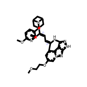 C=N/C(=C\C=C1/Nc2n[nH]c3nn4cc(OCCOC)cc1c4c23)N1CC2CC(C1)N2Cc1ccc(OC)nc1